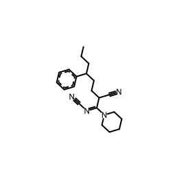 CCCC(CCC(C#N)C(=NC#N)N1CCCCC1)c1ccccc1